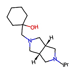 CC(C)N1C[C@H]2CN(CC3(O)CCCCC3)C[C@H]2C1